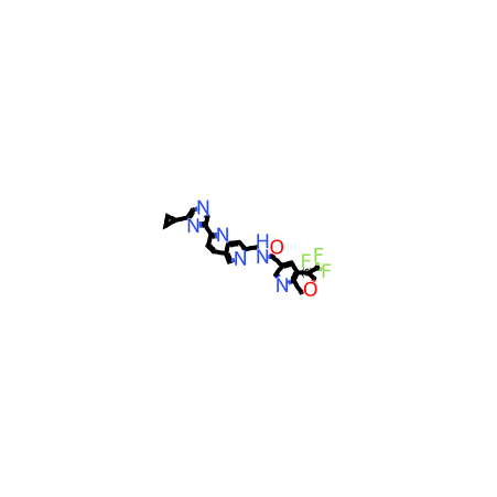 O=C(NCc1cc2nc(-c3cncc(C4CC4)n3)ccc2cn1)c1cnc2c(c1)[C@@](F)(C(F)F)COC2